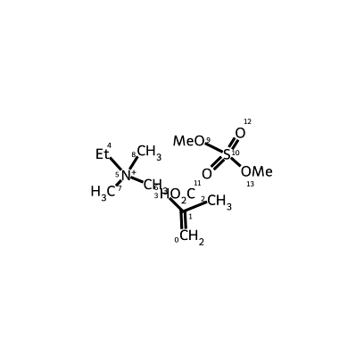 C=C(C)C(=O)O.CC[N+](C)(C)C.COS(=O)(=O)OC